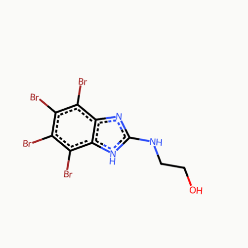 OCCNc1nc2c(Br)c(Br)c(Br)c(Br)c2[nH]1